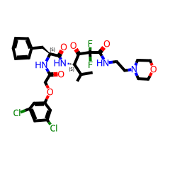 CC(C)[C@H](NC(=O)[C@H](Cc1ccccc1)NC(=O)COc1cc(Cl)cc(Cl)c1)C(=O)C(F)(F)C(=O)NCCN1CCOCC1